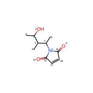 CC(O)C(C)C(C)N1C(=O)C=CC1=O